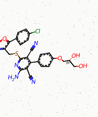 N#Cc1c(N)nc(SCc2ncoc2-c2ccc(Cl)cc2)c(C#N)c1-c1ccc(OC[C@H](O)CO)cc1